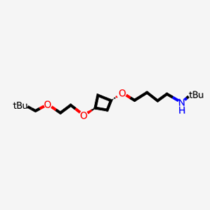 CC(C)(C)COCCO[C@H]1C[C@H](OCCCCNC(C)(C)C)C1